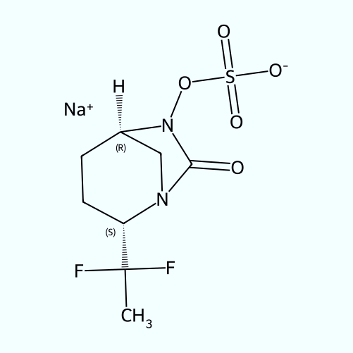 CC(F)(F)[C@@H]1CC[C@@H]2CN1C(=O)N2OS(=O)(=O)[O-].[Na+]